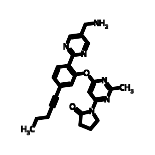 CCCC#Cc1ccc(-c2ncc(CN)cn2)c(Oc2cc(N3CCCC3=O)nc(C)n2)c1